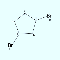 BrC1[CH]CC(Br)C1